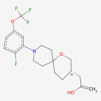 C=C(O)C[C@@H]1CCC2(CCN(c3cc(OC(F)(F)F)ccc3F)CC2)OC1